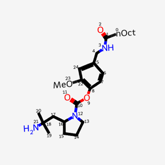 CCCCCCCCC(=O)NCc1ccc(OC(=O)N2CCCC2CC(C)(C)N)c(OC)c1